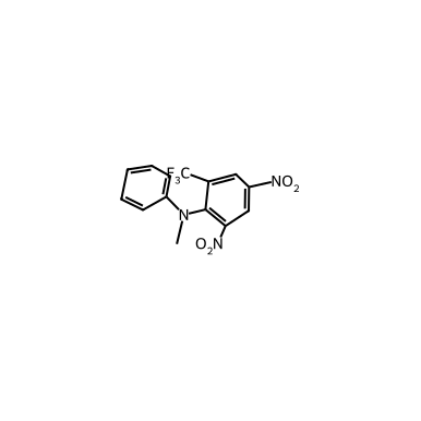 CN(c1ccccc1)c1c([N+](=O)[O-])cc([N+](=O)[O-])cc1C(F)(F)F